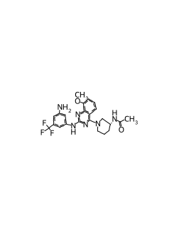 COc1cccc2c(N3CCC[C@@H](NC(C)=O)C3)nc(Nc3cc(N)cc(C(F)(F)F)c3)nc12